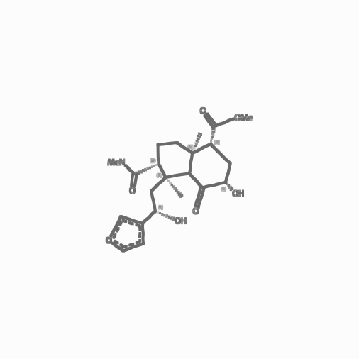 CNC(=O)[C@@H]1CC[C@]2(C)C(C(=O)[C@@H](O)C[C@H]2C(=O)OC)[C@@]1(C)C[C@H](O)c1ccoc1